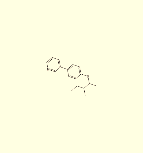 CCC(C)C(C)Sc1ccc(-c2cccnc2)cc1